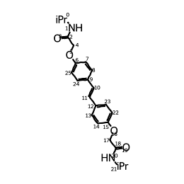 CC(C)NC(=O)COc1ccc(/C=C/c2ccc(OCC(=O)NC(C)C)cc2)cc1